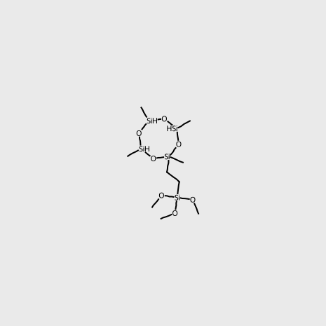 CO[Si](CC[Si]1(C)O[SiH](C)O[SiH](C)O[SiH](C)O1)(OC)OC